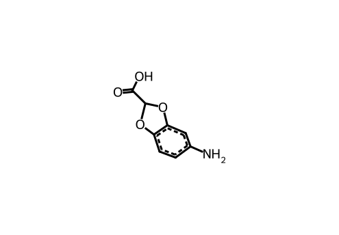 Nc1ccc2c(c1)OC(C(=O)O)O2